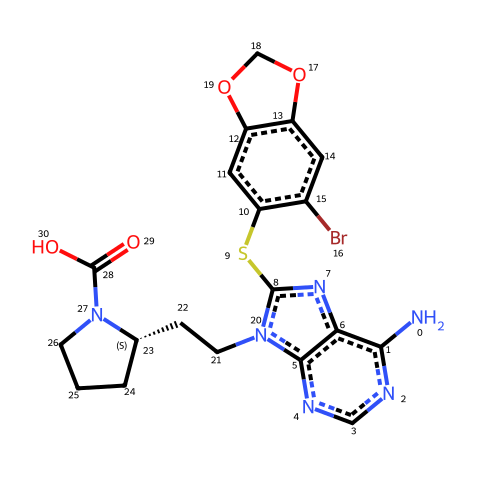 Nc1ncnc2c1nc(Sc1cc3c(cc1Br)OCO3)n2CC[C@@H]1CCCN1C(=O)O